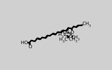 CCC=CCC(C=CC=CCC=CCC=CCC=CCCC(=O)O)O[Si](C)(C)C(C)(C)C